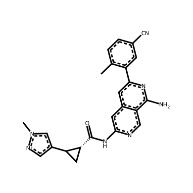 Cc1ccc(C#N)cc1-c1cc2cc(NC(=O)[C@@H]3CC3c3cnn(C)c3)ncc2c(N)n1